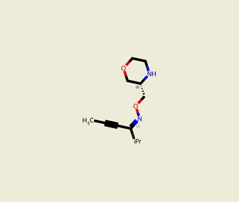 CC#C/C(=N\OC[C@@H]1COCCN1)C(C)C